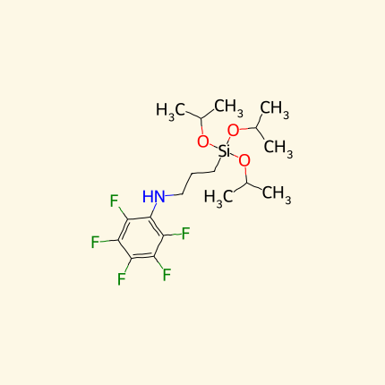 CC(C)O[Si](CCCNc1c(F)c(F)c(F)c(F)c1F)(OC(C)C)OC(C)C